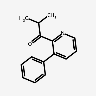 CC(C)C(=O)c1ncccc1-c1ccccc1